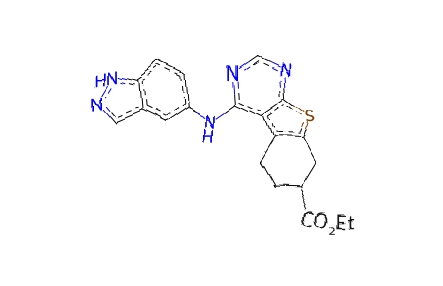 CCOC(=O)C1CCc2c(sc3ncnc(Nc4ccc5[nH]ncc5c4)c23)C1